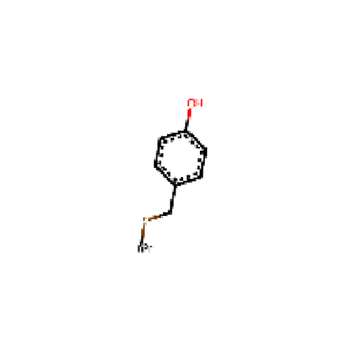 CCCSCc1ccc(O)cc1